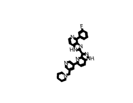 Fc1cccc(-c2nccc3[nH]c(-c4n[nH]c5ccc(-c6cncc(CN7CCCCC7)c6)nc45)nc23)c1